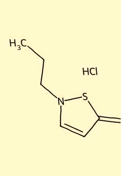 CCCn1ccc(=O)s1.Cl